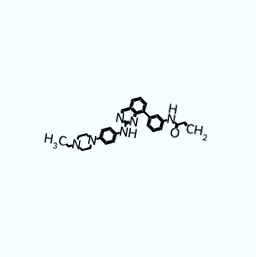 C=CC(=O)Nc1cccc(-c2cccc3cnc(Nc4ccc(N5CCN(CC)CC5)cc4)nc23)c1